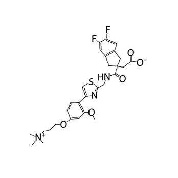 COc1cc(OCCC[N+](C)(C)C)ccc1-c1csc(CNC(=O)C2(CC(=O)[O-])Cc3cc(F)c(F)cc3C2)n1